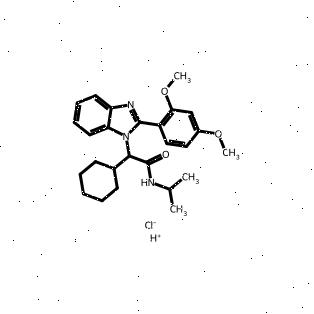 COc1ccc(-c2nc3ccccc3n2C(C(=O)NC(C)C)C2CCCCC2)c(OC)c1.[Cl-].[H+]